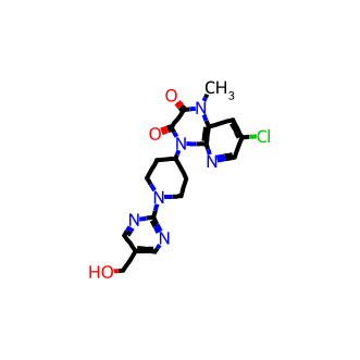 Cn1c(=O)c(=O)n(C2CCN(c3ncc(CO)cn3)CC2)c2ncc(Cl)cc21